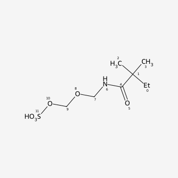 CCC(C)(C)C(=O)NCOCOS(=O)(=O)O